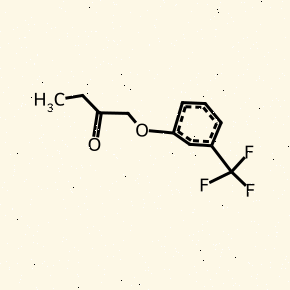 CCC(=O)COc1cccc(C(F)(F)F)c1